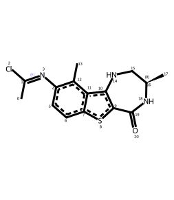 C/C(Cl)=N\c1ccc2sc3c(c2c1C)NC[C@@H](C)NC3=O